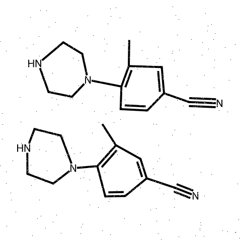 Cc1cc(C#N)ccc1N1CCNCC1.Cc1cc(C#N)ccc1N1CCNCC1